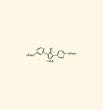 CCCCCc1ccc(C2=CC=C(c3cccc(CCCCC)c3)[N+]2=[N-])cc1.[CH3][Pd][CH3]